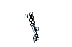 C[C@]12C=CC(=O)NC1CCC1C2CC[C@@]2(C)C1CC[C@@H]2COC(=O)OCc1ccc(C(F)(F)F)cc1